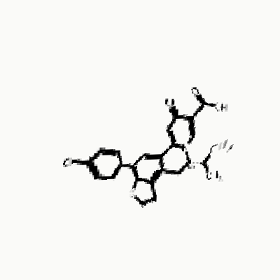 CC(C)[C@@H]1Cc2c(cc(-c3ccc(Cl)cc3)c3c2CCO3)-c2cc(=O)c(C(=O)O)cn21